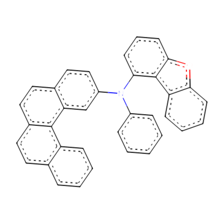 c1ccc(N(c2ccc3ccc4ccc5ccccc5c4c3c2)c2cccc3oc4ccccc4c23)cc1